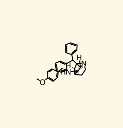 COc1ccc(CN[C@@H]2C3CCN(CC3)[C@H]2C(c2ccccc2)c2ccccc2)cc1